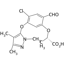 Cc1nn(C)c(Oc2cc(O[C@@H](C)C(=O)O)c(C=O)cc2Cl)c1C